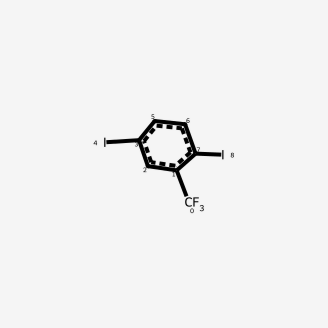 FC(F)(F)c1cc(I)ccc1I